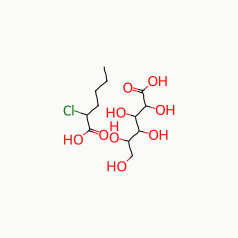 CCCCC(Cl)C(=O)O.O=C(O)C(O)C(O)C(O)C(O)CO